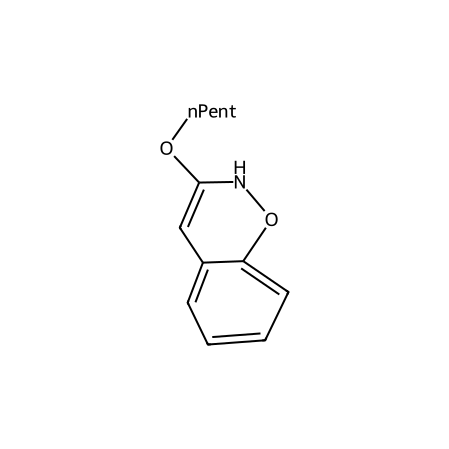 CCCCCOC1=Cc2ccccc2ON1